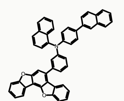 c1cc(-c2cc3oc4ccccc4c3c3oc4ccccc4c23)cc(N(c2ccc(-c3ccc4ccccc4c3)cc2)c2cccc3ccccc23)c1